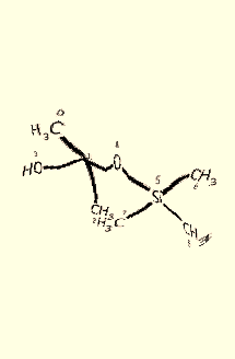 CC(C)(O)O[Si](C)(C)C